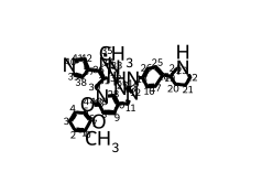 Cc1ccccc1Oc1cc2cnc(Nc3ccc(C4CCCNC4)cc3)nc2n(Cc2nnn(C)c2-c2ccncc2)c1=O